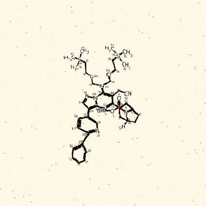 CC(C)(C)OC(=O)N1C2CC[C@@H]1CC(c1nc3c(-c4ccc(-c5ccccc5)nc4)cnn3c(N(COCC[Si](C)(C)C)COCC[Si](C)(C)C)c1CC#N)C2